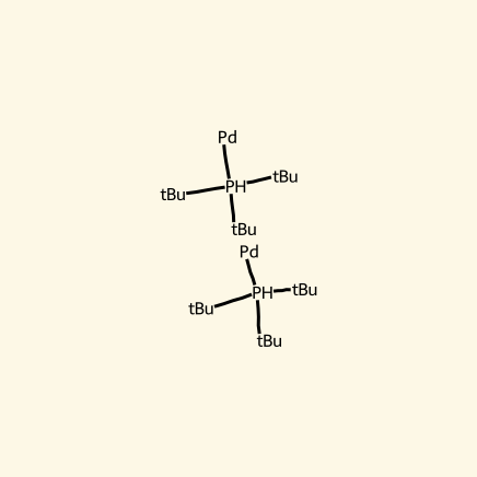 CC(C)(C)[PH]([Pd])(C(C)(C)C)C(C)(C)C.CC(C)(C)[PH]([Pd])(C(C)(C)C)C(C)(C)C